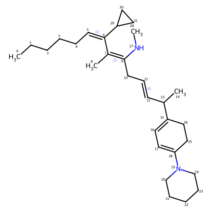 CCCCC/C=C(\C(C)=C(\C/C=C/C(C)C1=CC=C(N2CCCCC2)CC1)NC)C1CC1